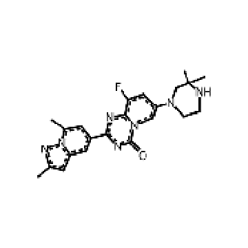 Cc1cc2cc(-c3nc(=O)n4cc(N5CCNC(C)(C)C5)cc(F)c4n3)cc(C)n2n1